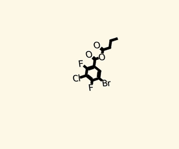 CCCC(=O)OC(=O)c1cc(Br)c(F)c(Cl)c1F